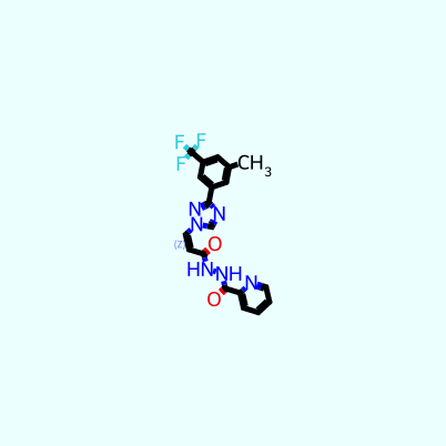 Cc1cc(-c2ncn(/C=C\C(=O)NNC(=O)c3ccccn3)n2)cc(C(F)(F)F)c1